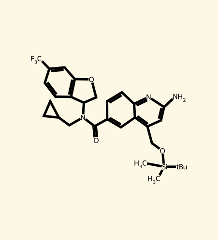 CC(C)(C)[Si](C)(C)OCc1cc(N)nc2ccc(C(=O)N(CC3CC3)C3COc4cc(C(F)(F)F)ccc43)cc12